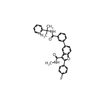 CNC(=O)c1c(-c2ccc(F)cc2)oc2ccc(-c3cccc(C(=O)NC(C)(C)c4ccccn4)c3)cc12